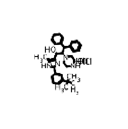 Cc1[nH]c(-c2cccc(C(C)(C)C)c2)nc1C(O)C(C(c1ccccc1)c1ccccc1)N1CCNCC1.Cl.Cl.Cl